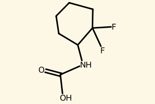 O=C(O)NC1CCCCC1(F)F